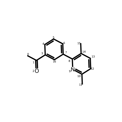 CC(=O)c1cccc(-c2nc(C)ccc2C)c1